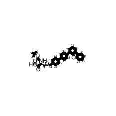 CC(C)(C)OC(=O)N[C@@H](COCc1ccc(-c2ccc(-c3cccc4c3oc3ccccc34)cc2)cc1)C(=O)O